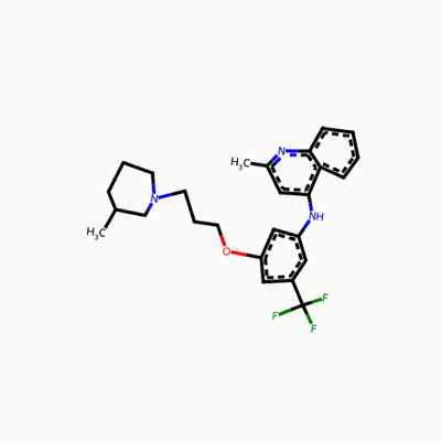 Cc1cc(Nc2cc(OCCCN3CCCC(C)C3)cc(C(F)(F)F)c2)c2ccccc2n1